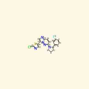 Fc1cccc(C2CCCN2c2ccc3ncc(-c4cnc(Cl)s4)n3n2)c1